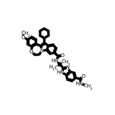 CNC(=O)c1ccc2[nH]c(C(C)(C)NC(=O)c3ccc4c(C5CCCCC5)c5n(c4c3)CCOc3cc(OC)ccc3-5)nc2c1